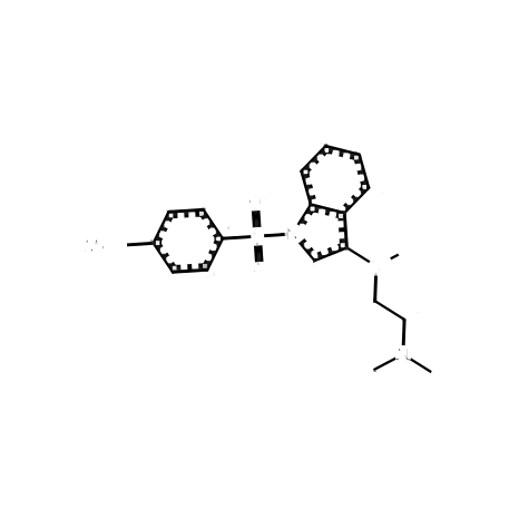 COc1ccc(S(=O)(=O)n2cc([S+]([O-])CCN(C)C)c3ccccc32)cc1